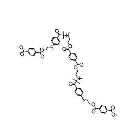 COC(=O)c1ccc(C(=O)OCCSc2ccc(C(=O)C(C)(C)N(C)CCOC(=O)c3ccc(C(=O)OCCN(C)C(C)(C)C(=O)c4ccc(SCCOC(=O)c5ccc(C(=O)OC)cc5)cc4)cc3)cc2)cc1